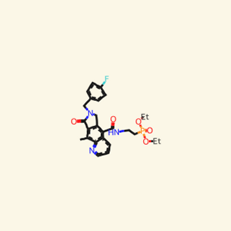 CCOP(=O)(CCNC(=O)c1c2c(c(C)c3ncccc13)C(=O)N(Cc1ccc(F)cc1)C2)OCC